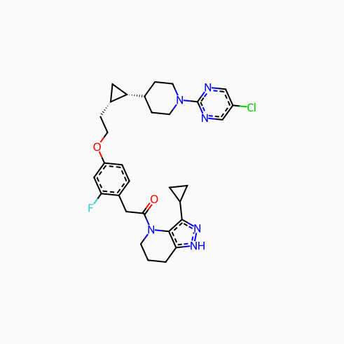 O=C(Cc1ccc(OCC[C@@H]2C[C@@H]2C2CCN(c3ncc(Cl)cn3)CC2)cc1F)N1CCCc2[nH]nc(C3CC3)c21